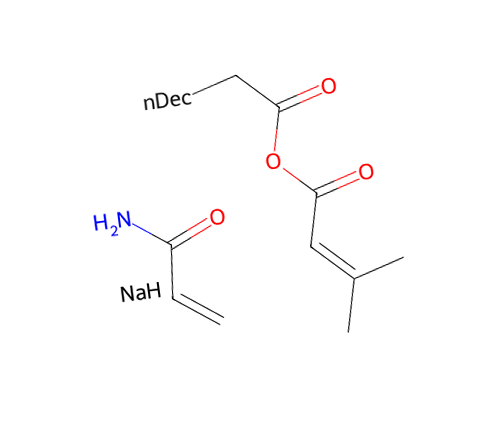 C=CC(N)=O.CCCCCCCCCCCC(=O)OC(=O)C=C(C)C.[NaH]